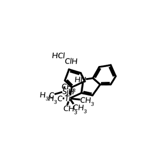 C[SiH](C)[Ti]([CH3])([CH3])([CH3])([CH3])([C]1=CC=CC1)[c]1cc2ccccc2[nH]1.Cl.Cl